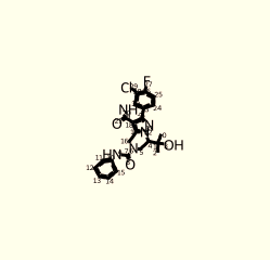 CC(C)(O)C1CN(C(=O)Nc2ccccc2)Cc2c(C(N)=O)c(-c3ccc(F)c(Cl)c3)nn21